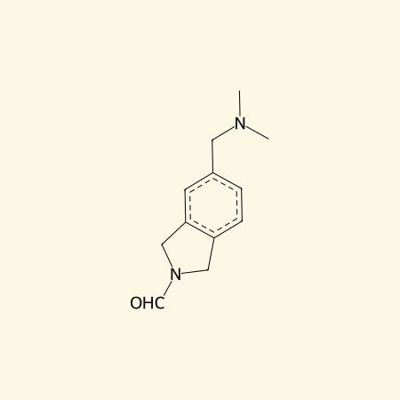 CN(C)Cc1ccc2c(c1)CN(C=O)C2